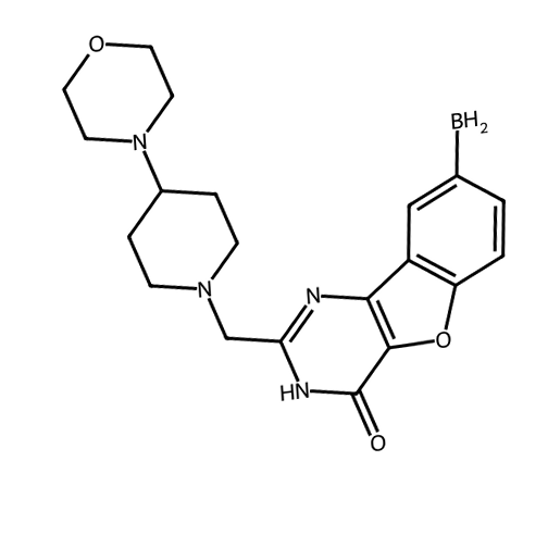 Bc1ccc2oc3c(=O)[nH]c(CN4CCC(N5CCOCC5)CC4)nc3c2c1